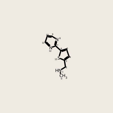 CNCc1ccc(-c2ncccn2)s1